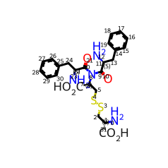 N[C@@H](CSSC[C@@H](C(=O)O)N(C(=O)[C@@H](N)Cc1ccccc1)C(=O)[C@@H](N)Cc1ccccc1)C(=O)O